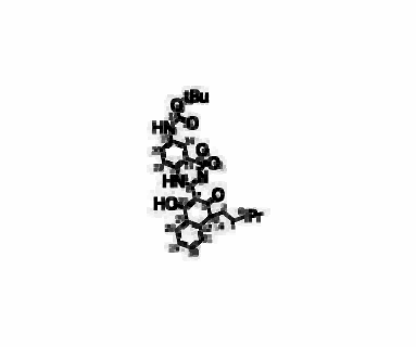 CC(C)CC[C@]1(C)C(=O)C(C2=NS(=O)(=O)c3cc(NC(=O)OC(C)(C)C)ccc3N2)=C(O)c2ccccc21